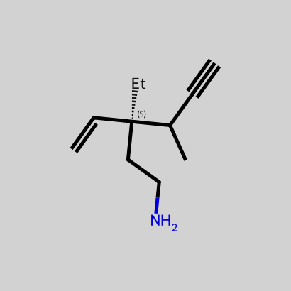 C#CC(C)[C@@](C=C)(CC)CCN